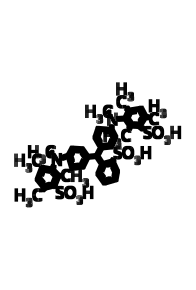 Cc1cc(C)c(S(=O)(=O)O)c(C)c1N(C)c1ccc(C(c2ccc(N(C)c3c(C)cc(C)c(S(=O)(=O)O)c3C)cc2)c2ccccc2S(=O)(=O)O)cc1